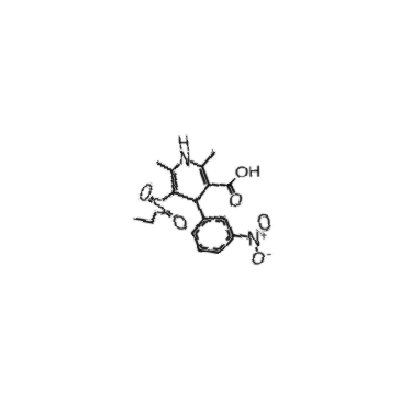 CCS(=O)(=O)C1=C(C)NC(C)=C(C(=O)O)C1c1cccc([N+](=O)[O-])c1